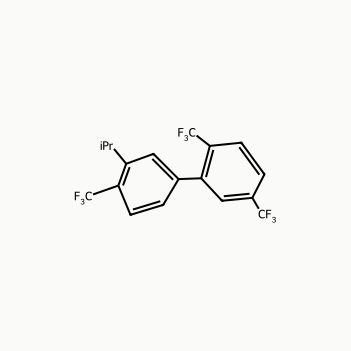 CC(C)c1cc(-c2cc(C(F)(F)F)ccc2C(F)(F)F)ccc1C(F)(F)F